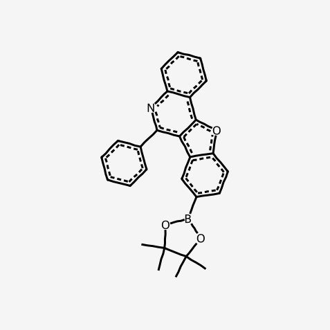 CC1(C)OB(c2ccc3oc4c5ccccc5nc(-c5ccccc5)c4c3c2)OC1(C)C